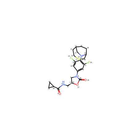 O=C(NC[C@H]1CN(c2cc(F)c(N3CC4CCSCC3CC4)c(F)c2)C(=O)O1)C1CC1